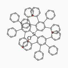 Cl[Si](c1cc(-c2ccccc2)c(-c2ccccc2)c(-c2ccccc2)c1-c1ccccc1)(c1cc(-c2ccccc2)c(-c2ccccc2)c(-c2ccccc2)c1-c1ccccc1)c1cc(-c2ccccc2)c(-c2ccccc2)c(-c2ccccc2)c1-c1ccccc1